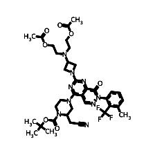 CC(=O)OCCN(CCOC(C)=O)C1CN(c2nc(N3CCN(C(=O)OC(C)(C)C)C(CC#N)C3)c3cnn(-c4cccc(C)c4C(F)(F)F)c(=O)c3n2)C1